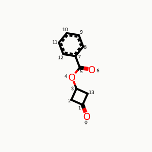 O=C1CC(OC(=O)c2ccccc2)C1